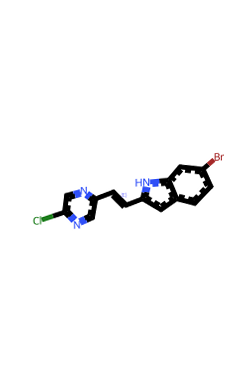 Clc1cnc(/C=C/c2cc3ccc(Br)cc3[nH]2)cn1